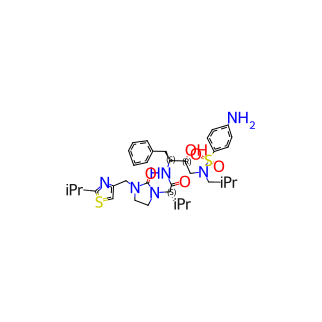 CC(C)CN(C[C@@H](O)[C@H](Cc1ccccc1)NC(=O)[C@H](C(C)C)N1CCN(Cc2csc(C(C)C)n2)C1=O)S(=O)(=O)c1ccc(N)cc1